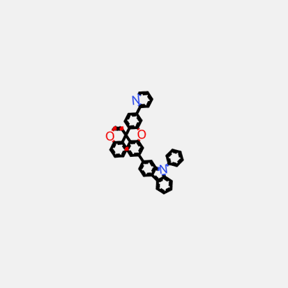 c1ccc(-n2c3ccccc3c3ccc(-c4ccc5c(c4)Oc4cc(-c6ccccn6)ccc4C54c5ccccc5Oc5ccccc54)cc32)cc1